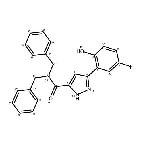 O=C(c1cc(-c2cc(F)ccc2O)n[nH]1)N(Cc1ccccc1)Cc1ccccc1